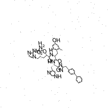 Cc1cc(O)cc(C)c1CC(NC(=O)C(CCCn1ccnc1N)OC(N)=O)C(=O)N[C@@H](Cc1c[nH]cn1)c1nc(Cc2ccc(-c3ccccc3)cc2)no1